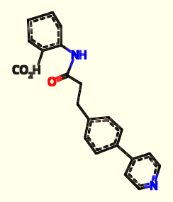 O=C(CCc1ccc(-c2ccncc2)cc1)Nc1ccccc1C(=O)O